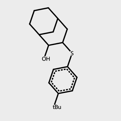 CC(C)(C)c1ccc(SC2CC3CCCC(C3)C2O)cc1